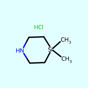 C[Si]1(C)CCNCC1.Cl